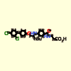 CCCCC(COc1ccc(-c2ccc(Cl)cc2Cl)cc1)Nc1ccc(C(=O)NCCC(=O)O)cc1